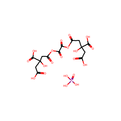 O=C(O)CC(O)(CC(=O)OC(=O)C(=O)OC(=O)CC(O)(CC(=O)O)C(=O)O)C(=O)O.O=P(O)(O)O